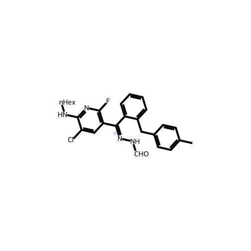 CCCCCCNc1nc(F)c(/C(=N/NC=O)c2ccccc2Cc2ccc(C)cc2)cc1Cl